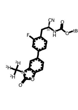 [2H]C([2H])([2H])n1c(=O)oc2ccc(-c3ccc(C[C@@H](C#N)NC(=O)OC(C)(C)C)c(F)c3)cc21